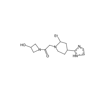 CCC1CC(c2ncc[nH]2)CCN1CC(=O)N1CC(O)C1